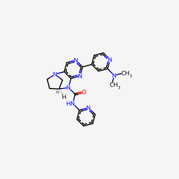 CN(C)c1cc(-c2ncc3c(n2)N(C(=O)Nc2ccccn2)[C@H]2CCN3C2)ccn1